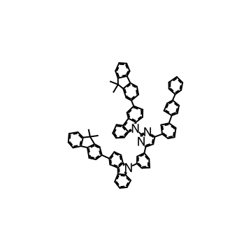 CC1(C)c2ccccc2-c2ccc(-c3ccc4c(c3)c3ccccc3n4-c3cccc(-c4cc(-c5cccc(-c6ccc(-c7ccccc7)cc6)c5)nc(-n5c6ccccc6c6cc(-c7ccc8c(c7)C(C)(C)c7ccccc7-8)ccc65)n4)c3)cc21